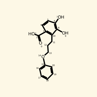 O=C(O)c1ccc(O)c(O)c1CCCOc1ccccc1